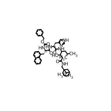 CC(C)CC(NC(=O)[C@H](Cc1c[nH]cn1)NC(=O)[C@H](Cc1cccc2ccccc12)NC(=O)OCc1ccccc1)C(O)CC(=O)NCC12CCCC(C1)C2(C)C